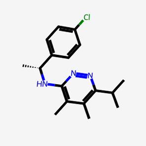 Cc1c(N[C@H](C)c2ccc(Cl)cc2)nnc(C(C)C)c1C